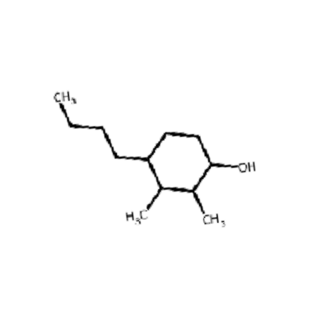 CCCCC1CCC(O)C(C)C1C